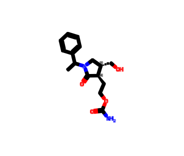 CC(c1ccccc1)N1C[C@H](CO)[C@@H](CCOC(N)=O)C1=O